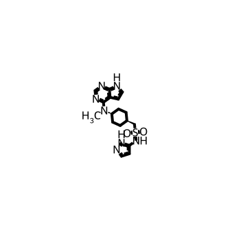 CN(c1ncnc2[nH]ccc12)[C@H]1CC[C@H](CS(=O)(=O)Nc2ccn[nH]2)CC1